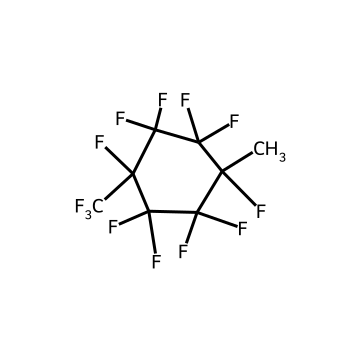 CC1(F)C(F)(F)C(F)(F)C(F)(C(F)(F)F)C(F)(F)C1(F)F